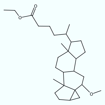 CCOC(=O)CCCC(C)C1CCC2C3CC(OC)C45CC4CCC5(C)C3CCC12C